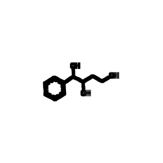 OCCC(O)C(O)c1ccccc1